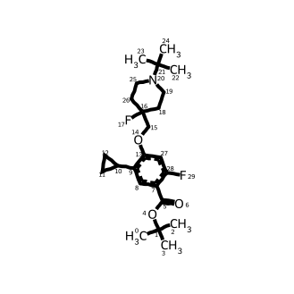 CC(C)(C)OC(=O)c1cc(C2CC2)c(OCC2(F)CCN(C(C)(C)C)CC2)cc1F